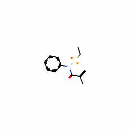 C=C(C)C(=O)N(c1ccccc1)S(=O)(=O)CC